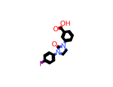 O=C(O)c1cccc(N2CCN(c3ccc(I)cc3)C2=O)c1